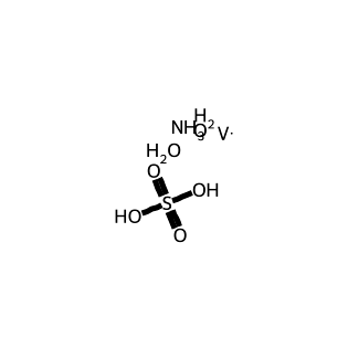 N.O.O.O=S(=O)(O)O.[V]